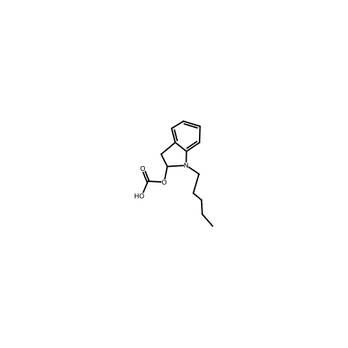 CCCCCN1c2ccccc2CC1OC(=O)O